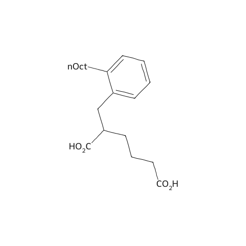 CCCCCCCCc1ccccc1CC(CCCC(=O)O)C(=O)O